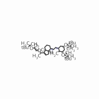 C=C1/C(=C\C=C2/CCC[C@]3(C)C(C(C)OCC(=O)OC(C)(C)C(C)(C)C)=CC[C@@H]23)C[C@@H](O[Si](C)(C)C(C)(C)C)C[C@@H]1O[Si](C)(C)C(C)(C)C